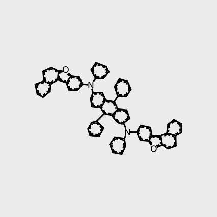 c1ccc(-c2c3ccc(N(c4ccccc4)c4ccc5c(c4)oc4ccc6ccccc6c45)cc3c(-c3ccccc3)c3ccc(N(c4ccccc4)c4ccc5c(c4)oc4ccc6ccccc6c45)cc23)cc1